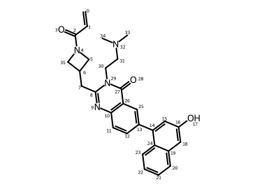 C=CC(=O)N1CC(Cc2nc3ccc(-c4cc(O)cc5ccccc45)cc3c(=O)n2CCN(C)C)C1